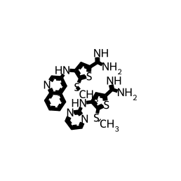 CSc1sc(C(=N)N)cc1Nc1cnc2ccccc2c1.CSc1sc(C(=N)N)cc1Nc1ncccn1